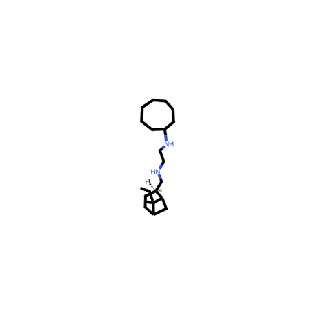 CCC1(C)C2CC[C@@H](CNCCNC3CCCCCCC3)C1C2